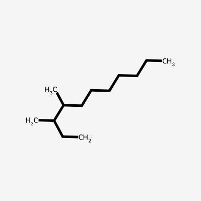 [CH2]CC(C)C(C)CCCCCCC